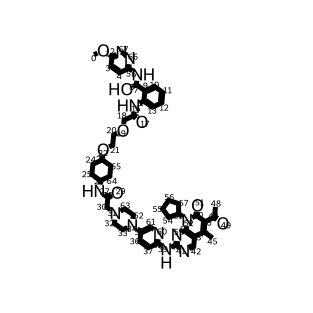 COc1ccc(NC(O)c2ccccc2NC(=O)COCCOC2CCC(NC(=O)CN3CCN(c4ccc(Nc5ncc6c(C)c(C(C)=O)c(=O)n(C7CCCC7)c6n5)nc4)CC3)CC2)nn1